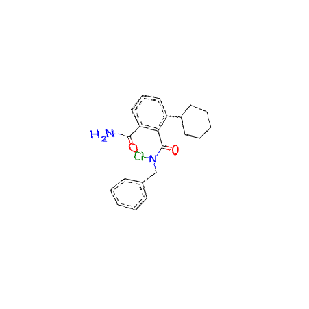 NC(=O)c1cccc(C2CCCCC2)c1C(=O)N(Cl)Cc1ccccc1